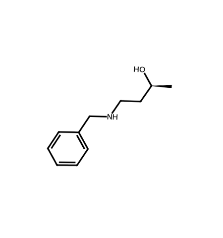 C[C@H](O)CCNCc1ccccc1